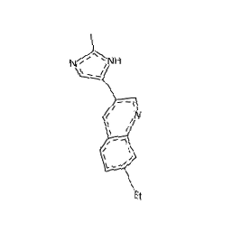 CCc1ccc2cc(-c3cnc(C)[nH]3)cnc2c1